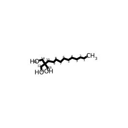 CCCCCCCCCCCC(CO)(CO)CO